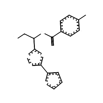 O=C(NC(CO)c1nc(-c2cccs2)no1)c1ccc(F)cc1